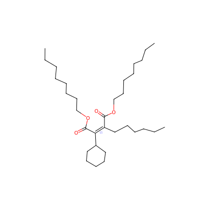 CCCCCCCCOC(=O)/C(CCCCCC)=C(\C(=O)OCCCCCCCC)C1CCCCC1